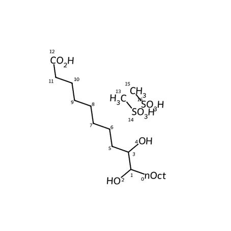 CCCCCCCCC(O)C(O)CCCCCCCC(=O)O.CS(=O)(=O)O.CS(=O)(=O)O